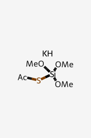 CO[Si](OC)(OC)SC(C)=O.[KH]